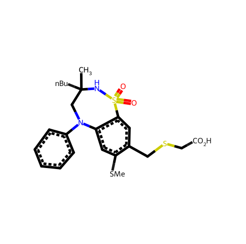 CCCCC1(C)CN(c2ccccc2)c2cc(SC)c(CSCC(=O)O)cc2S(=O)(=O)N1